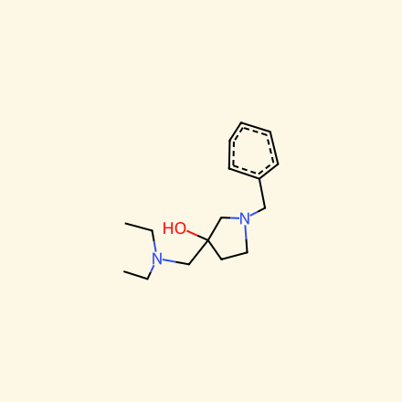 CCN(CC)CC1(O)CCN(Cc2ccccc2)C1